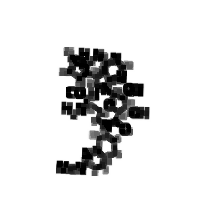 CNc1ccc2ccc(N(CC[C@H](N)C(=O)O)C(=O)[C@H]3O[C@@H](n4cc(-c5ccn(C)n5)c5c(N)ncnc54)[C@H](O)[C@@H]3O)cc2n1